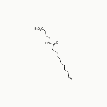 C=CCCCCCCCCC(=O)NCCCC(=O)OCC